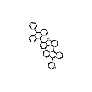 C1=Cc2c(c(-c3ccccc3)c3ccccc3c2-c2cccc3c2oc2cccc(-c4c5ccccc5c(-c5cccnc5)c5ccccc45)c23)CC1